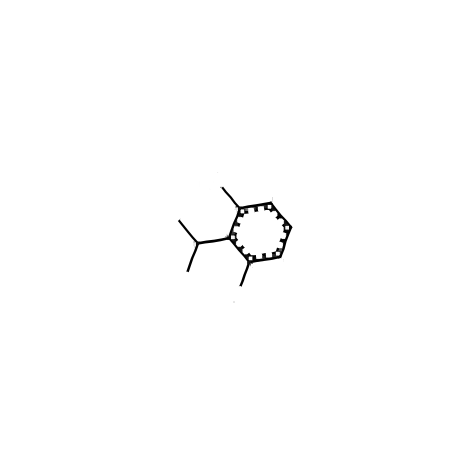 CC(C)c1c([SiH3])cccc1Cl